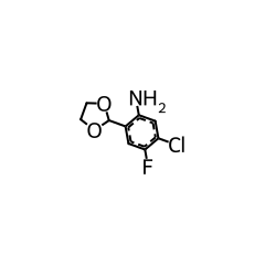 Nc1cc(Cl)c(F)cc1C1OCCO1